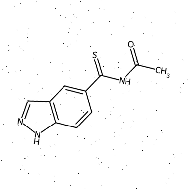 CC(=O)NC(=S)c1ccc2[nH]ncc2c1